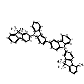 CC1C=CC=C2C1c1ccc(-n3c4ccccc4c4cc(-c5ccc6c(c5)c5ccccc5n6-c5ccc6c(c5)C(C)(C)c5ccccc5-6)ccc43)cc1C2(C)C